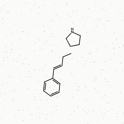 C1CCNC1.CCC=Cc1ccccc1